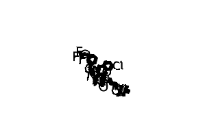 Cn1c(=O)n(CCCO[Si](C)(C)C(C)(C)C)c(=O)c2c1nc(Oc1cccc(OC(F)(F)F)c1)n2Cc1ccc(Cl)cc1